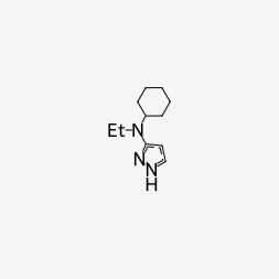 CCN(c1cc[nH]n1)C1CCCCC1